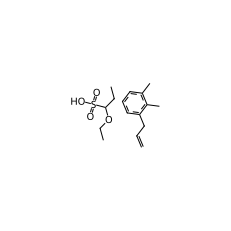 C=CCc1cccc(C)c1C.CCOC(CC)S(=O)(=O)O